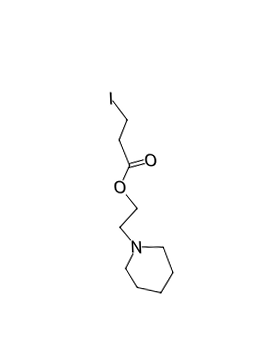 O=C(CCI)OCCN1CCCCC1